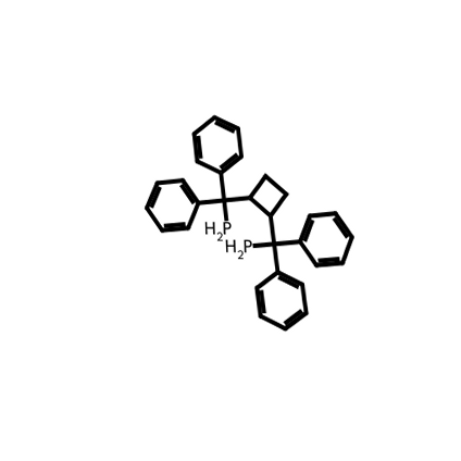 PC(c1ccccc1)(c1ccccc1)C1CCC1C(P)(c1ccccc1)c1ccccc1